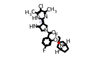 CC1=N/C(=C2\CN(C(=O)c3ccc(F)cc3OC3C[C@H]4CC[C@@H](C3)N4CCF)CC2=N)NC(C)=C1Cl